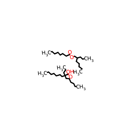 CCCCCCCC(=O)OCC(CCC)CCCCC.CCCCCCCC(CCC)(CCCCCC)C(=O)O